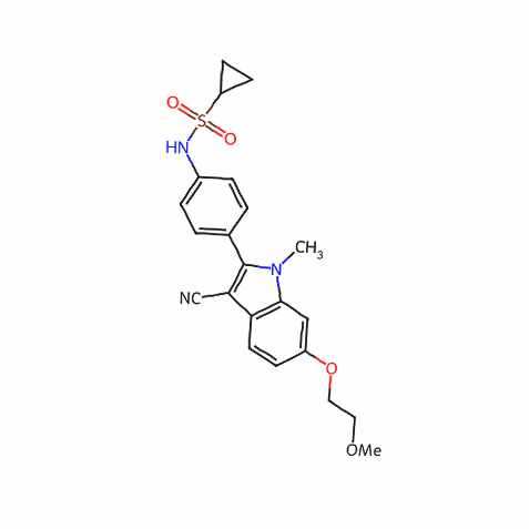 COCCOc1ccc2c(C#N)c(-c3ccc(NS(=O)(=O)C4CC4)cc3)n(C)c2c1